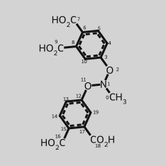 CN(Oc1ccc(C(=O)O)c(C(=O)O)c1)Oc1ccc(C(=O)O)c(C(=O)O)c1